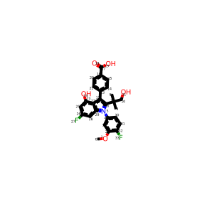 COc1cc(-n2c(C(C)(C)CO)c(-c3ccc(C(=O)O)cc3)c3c(O)cc(F)cc32)ccc1F